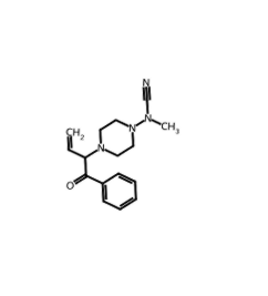 C=CC(C(=O)c1ccccc1)N1CCN(N(C)C#N)CC1